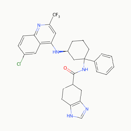 O=C(NC1(c2ccccc2)CCC[C@H](Nc2cc(C(F)(F)F)nc3ccc(Cl)cc23)C1)C1CCc2[nH]cnc2C1